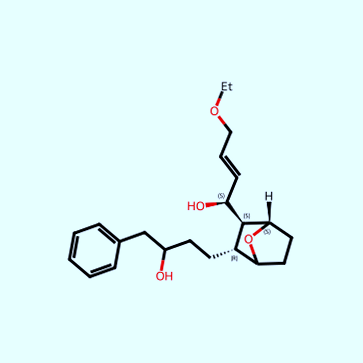 CCOCC=C[C@H](O)[C@H]1[C@@H]2CCC(O2)[C@@H]1CCC(O)Cc1ccccc1